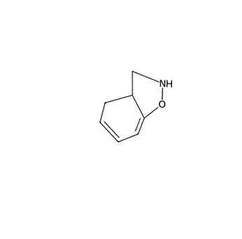 C1=CCC2CNOC2=C1